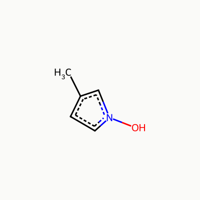 Cc1ccn(O)c1